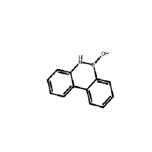 OB1Nc2ccccc2-c2ccccc21